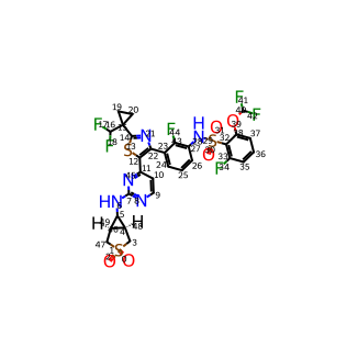 O=S1(=O)C[C@@H]2C(Nc3nccc(-c4sc(C5(C(F)F)CC5)nc4-c4cccc(NS(=O)(=O)c5c(F)cccc5OC(F)F)c4F)n3)[C@@H]2C1